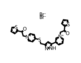 O=C(C[n+]1ccc(SCc2cc(-c3ccc[n+](CC(=O)c4cccs4)c3)[nH]n2)cc1)c1cccs1.[Br-].[Br-]